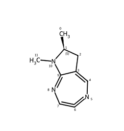 C[C@H]1CC2=CN=C=CN=C2N1C